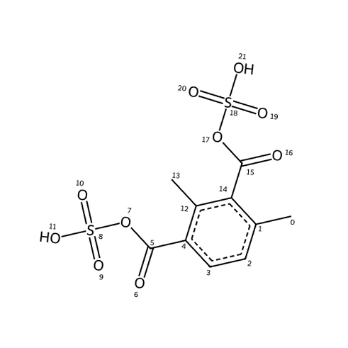 Cc1ccc(C(=O)OS(=O)(=O)O)c(C)c1C(=O)OS(=O)(=O)O